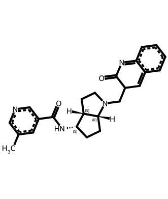 Cc1cncc(C(=O)N[C@H]2CC[C@@H]3[C@H]2CCN3CC2C=c3ccccc3=NC2=O)c1